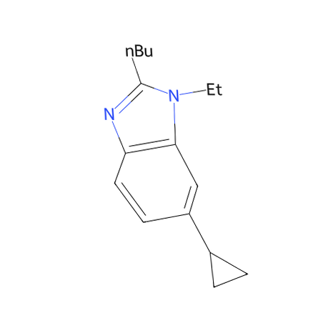 CCCCc1nc2ccc(C3CC3)cc2n1CC